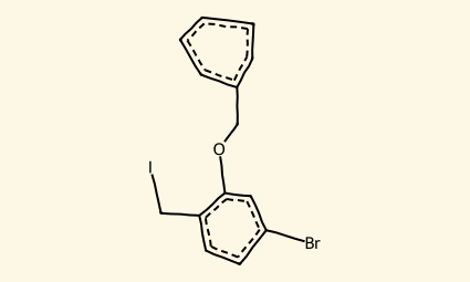 Brc1ccc(CI)c(OCc2ccccc2)c1